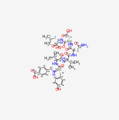 CC(C)C[C@H](NC(=O)[C@H](CC(=O)O)NC(=O)[C@H](CC(N)=O)NC(=O)[C@@H](NC(=O)[C@@H](NC(=O)[C@H](Cc1ccc(O)cc1)NCc1ccc(C(=O)O)cc1)C(C)C)C(C)C)C(=O)O